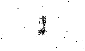 COC(=O)NC(C(=O)N1CCC[C@H]1c1ncc(-c2ccc(-c3ccc(-c4cnc([C@@H]5CC6(CN5C(=O)[C@@H](NC(=O)OC)C(C)C)SCCS6)[nH]4)cc3)cc2)[nH]1)C(C)C